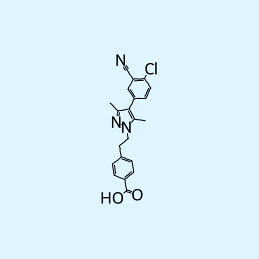 Cc1nn(CCc2ccc(C(=O)O)cc2)c(C)c1-c1ccc(Cl)c(C#N)c1